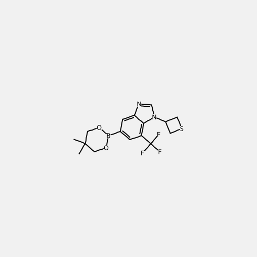 CC1(C)COB(c2cc(C(F)(F)F)c3c(c2)ncn3C2CSC2)OC1